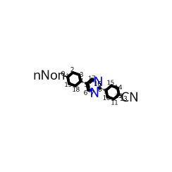 CCCCCCCCC[C@H]1CC[C@H](c2cnc([C@H]3CC[C@H](C#N)CC3)nc2)CC1